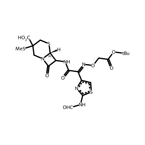 CSC1(C(=O)O)CS[C@@H]2C(NC(=O)C(=NOCC(=O)OC(C)(C)C)c3csc(NC=O)n3)C(=O)N2C1